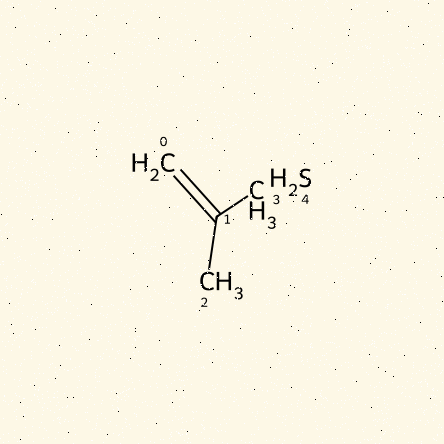 C=C(C)C.S